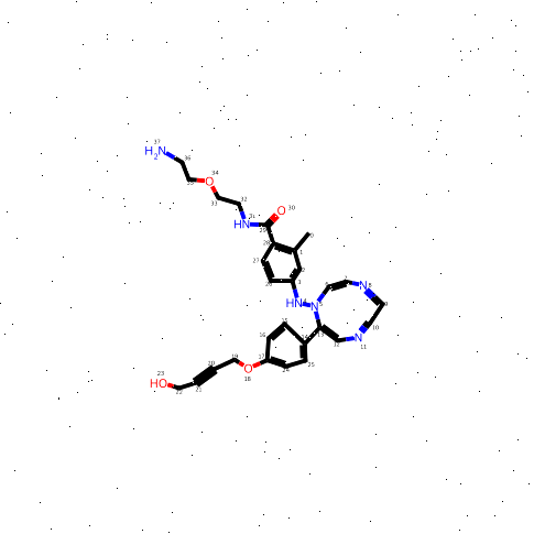 Cc1cc(Nn2ccnccncc2-c2ccc(OCC#CCO)cc2)ccc1C(=O)NCCOCCN